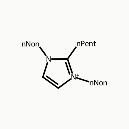 CCCCCCCCCn1cc[n+](CCCCCCCCC)c1CCCCC